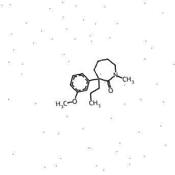 CCCC1(c2cccc(OC)c2)CCCCN(C)C1=O